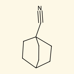 N#CC12CCC(CC1)CC2